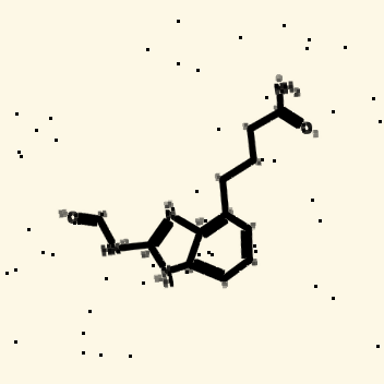 NC(=O)CCCc1cccc2[nH]c(NC=O)nc12